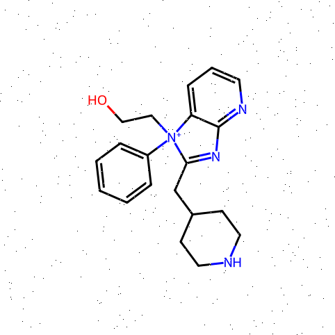 OCC[N+]1(c2ccccc2)C(CC2CCNCC2)=Nc2ncccc21